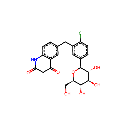 O=C1CC(=O)c2cc(Cc3cc([C@@H]4O[C@H](CO)[C@@H](O)[C@H](O)[C@H]4O)ccc3Cl)ccc2N1